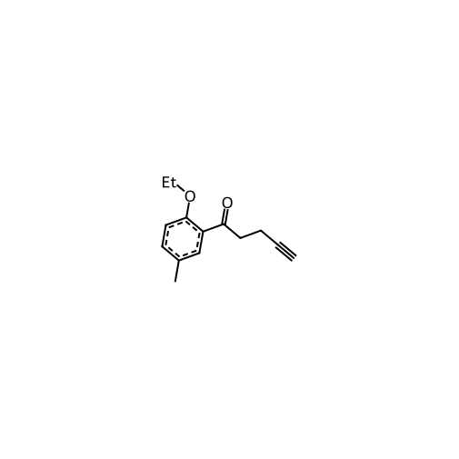 C#CCCC(=O)c1cc(C)ccc1OCC